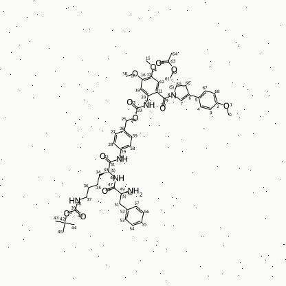 COc1ccc(C2=CN(C(=O)c3cc(OC)c(OC)cc3NC(=O)OCc3ccc(NC(=O)[C@H](CCCCNC(=O)OC(C)(C)C)NC(=O)[C@@H](N)Cc4ccccc4)cc3)[C@H](COC(C)=O)C2)cc1